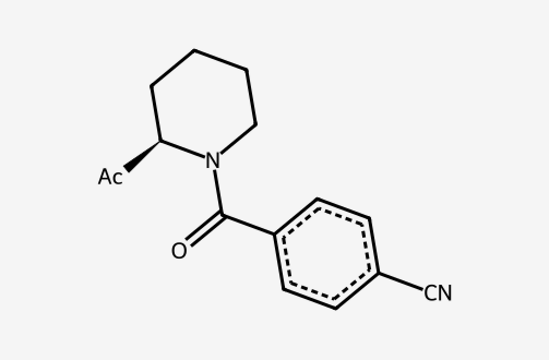 CC(=O)[C@H]1CCCCN1C(=O)c1ccc(C#N)cc1